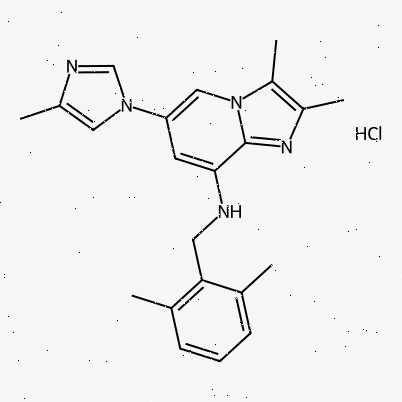 Cc1cn(-c2cc(NCc3c(C)cccc3C)c3nc(C)c(C)n3c2)cn1.Cl